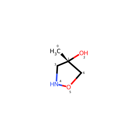 C[C@]1(O)CNOC1